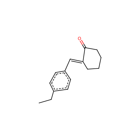 CCc1ccc(C=C2CCCCC2=O)cc1